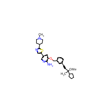 COC(C)(C#Cc1cccc(COc2cc(-c3cnc(C4CCN(C)CC4)s3)cnc2N)c1)C1CCCC1